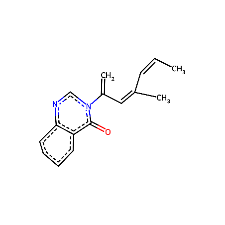 C=C(/C=C(C)\C=C/C)n1cnc2ccccc2c1=O